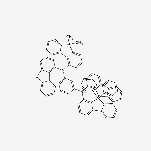 CC1(C)c2ccccc2-c2c(N(c3cccc(N(c4cccc5c4C(c4ccccc4)(c4ccccc4)c4ccccc4-5)c4cccc5c4sc4ccccc45)c3)c3cccc4oc5ccccc5c34)cccc21